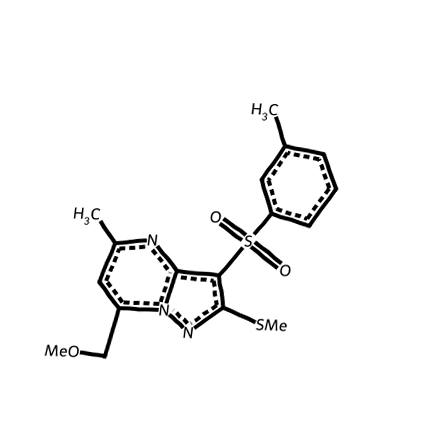 COCc1cc(C)nc2c(S(=O)(=O)c3cccc(C)c3)c(SC)nn12